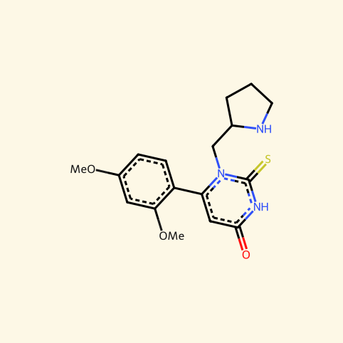 COc1ccc(-c2cc(=O)[nH]c(=S)n2CC2CCCN2)c(OC)c1